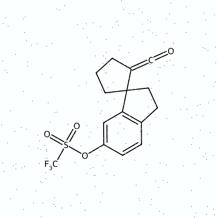 O=C=C1CCCC12CCc1ccc(OS(=O)(=O)C(F)(F)F)cc12